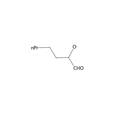 CCCCCC([O])C=O